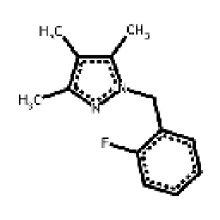 Cc1nn(Cc2ccccc2F)c(C)c1C